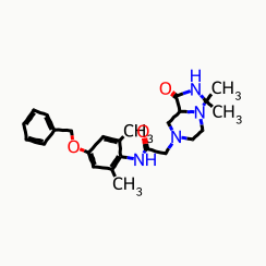 Cc1cc(OCc2ccccc2)cc(C)c1NC(=O)CN1CCN2C(C1)C(=O)NC2(C)C